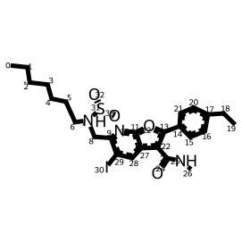 CC[CH]CCCCN(Cc1nc2oc(-c3ccc(CC)cc3)c(C(=O)NC)c2cc1I)[SH](=O)=O